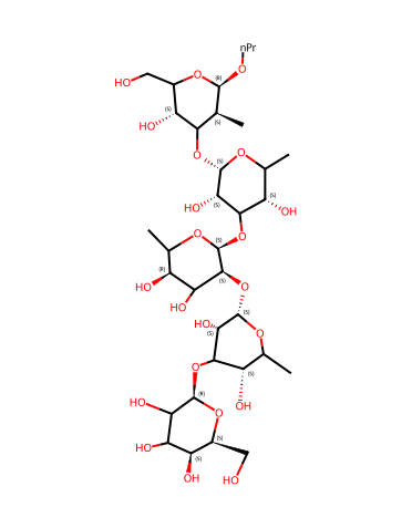 CCCO[C@@H]1OC(CO)[C@@H](O)C(O[C@@H]2OC(C)[C@H](O)C(O[C@@H]3OC(C)[C@H](O)C(O)[C@@H]3O[C@@H]3OC(C)[C@H](O)C(O[C@H]4O[C@@H](CO)[C@@H](O)C(O)C4O)[C@@H]3O)[C@@H]2O)[C@@H]1C